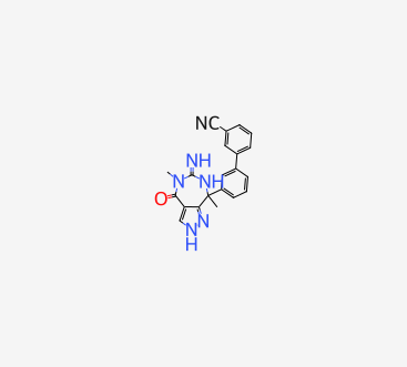 CN1C(=N)NC(C)(c2cccc(-c3cccc(C#N)c3)c2)c2n[nH]cc2C1=O